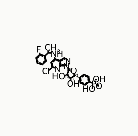 C[C@H](Nc1cc(Cl)nc2c1cnn2[C@@H]1O[C@H](c2ccc(P(=O)(O)O)cc2)[C@@H](O)[C@H]1O)c1ccccc1F